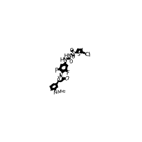 CNc1cccc(C2=NN(c3c(F)cc(NC(=O)NS(=O)(=O)c4ccc(Cl)s4)cc3F)C(=O)C2)c1